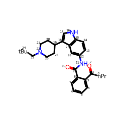 CCCC(=O)c1ccccc1C(=O)Nc1ccc2[nH]cc(C3CCN(CC(C)(C)C)CC3)c2c1